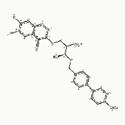 COc1ccc(-c2ccc(CC[C@@H](O)C(CCn3nnc4cc(F)c(F)cc4c3=O)C(=O)O)cc2)cn1